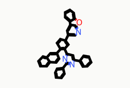 c1ccc(-c2cc(-c3cc(-c4cnc5oc6ccccc6c5c4)ccc3-c3ccc4ccccc4c3)nc(-c3ccccc3)n2)cc1